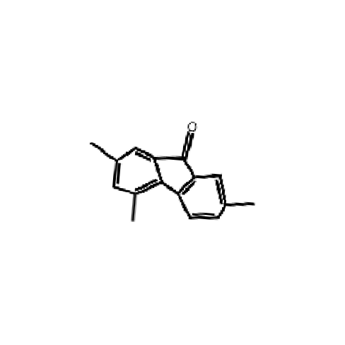 Cc1ccc2c(c1)C(=O)c1cc(C)cc(C)c1-2